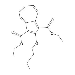 CCCCOc1c(C(=O)OCC)c2cccccc-2c1C(=O)OCC